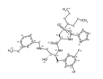 CCCC(CCC)S(=O)(=O)C[C@@H](NC(=O)c1cscn1)C(=O)N[C@@H](Cc1cc(F)cc(F)c1)[C@H](O)CNCc1cccc(CC)c1